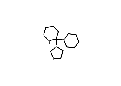 C1CCN(C2(N3CCSC3)CCC[N]N2)CC1